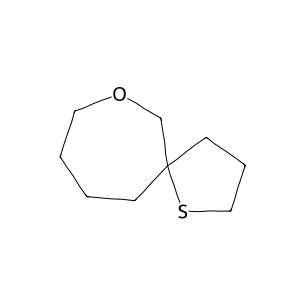 C1CCC2(CCCS2)COC1